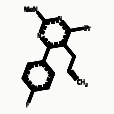 C=CCc1c(-c2ccc(F)cc2)nc(NC)nc1C(C)C